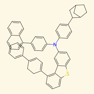 C1=C(c2ccccc2)CCC(c2cccc3sc4ccc(N(c5ccc(-c6cccc7ccccc67)cc5)c5ccc(C6CC7CCC6C7)cc5)cc4c23)=C1